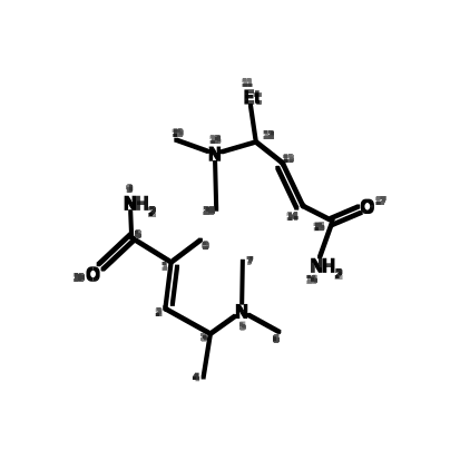 C/C(=C\C(C)N(C)C)C(N)=O.CCC(/C=C/C(N)=O)N(C)C